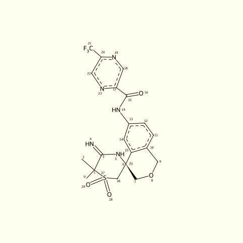 CC1(C)C(=N)N[C@@]2(COCc3ccc(NC(=O)c4cnc(C(F)(F)F)cn4)cc32)CS1(=O)=O